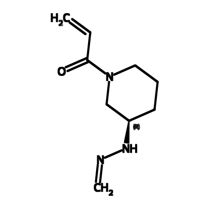 C=CC(=O)N1CCC[C@@H](NN=C)C1